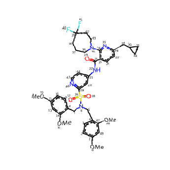 COc1ccc(CN(Cc2ccc(OC)cc2OC)S(=O)(=O)c2cc(NC(=O)c3ccc(CC4CC4)nc3N3CCCC(F)(F)CC3)ccn2)c(OC)c1